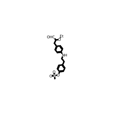 CCOC(C=O)Cc1ccc(NCCc2ccc(OS(C)(=O)=O)cc2)cc1